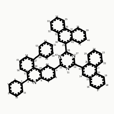 c1ccc(-c2nc3ccc(-c4nc(-c5cc6ccccc6c6ccccc56)nc(-c5cc6ccccc6c6ccccc56)n4)cc3c3c(-c4ccccc4)cccc23)cc1